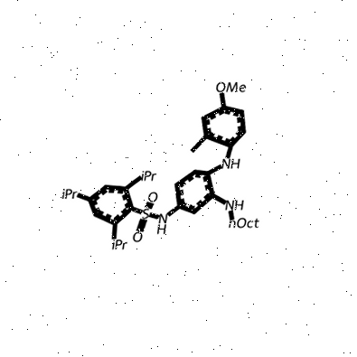 CCCCCCCCNc1cc(NS(=O)(=O)c2c(C(C)C)cc(C(C)C)cc2C(C)C)ccc1Nc1ccc(OC)cc1C